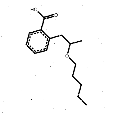 CCCCCOC(C)Cc1ccccc1C(=O)O